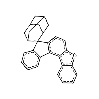 c1ccc2c(c1)-c1c(ccc3oc4ccccc4c13)C21C2CC3CC(C2)CC1C3